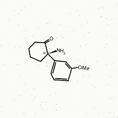 COc1cccc([C@]2(N)CCCCC2=O)c1